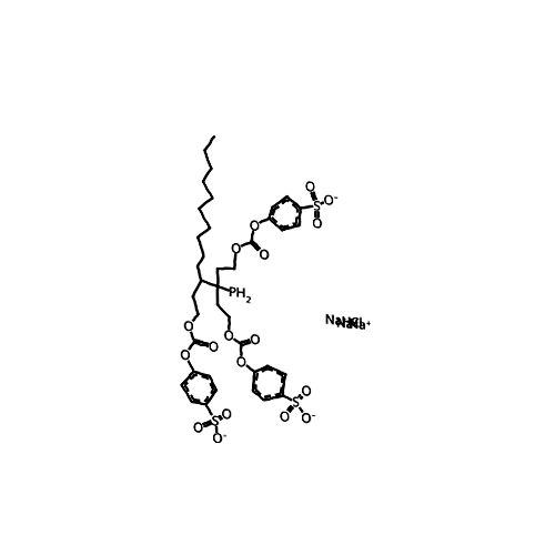 CCCCCCCCCCC(CCOC(=O)Oc1ccc(S(=O)(=O)[O-])cc1)C(P)(CCOC(=O)Oc1ccc(S(=O)(=O)[O-])cc1)CCOC(=O)Oc1ccc(S(=O)(=O)[O-])cc1.Cl.[Na+].[Na+].[Na+]